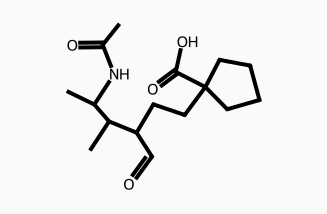 CC(=O)NC(C)C(C)C(C=O)CCC1(C(=O)O)CCCC1